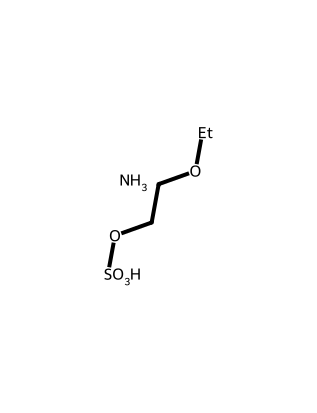 CCOCCOS(=O)(=O)O.N